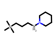 C[Si](C)(C)CCC[SiH2]N1CCCCC1